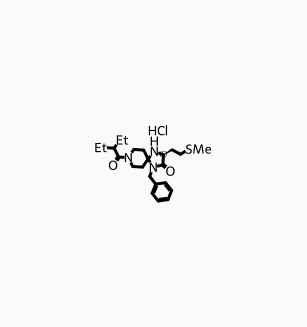 CCC(CC)C(=O)N1CCC2(CC1)N[C@@H](CCSC)C(=O)N2Cc1ccccc1.Cl